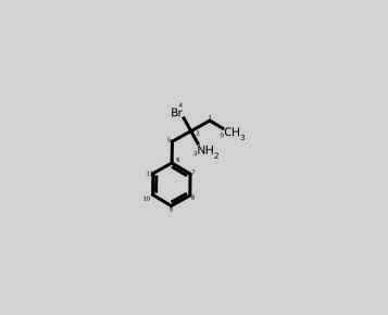 CCC(N)(Br)Cc1ccccc1